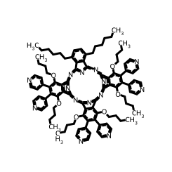 CCCCCCc1ccc(CCCCCC)c2c1-c1nc-2nc2[nH]c(nc3nc(nc4[nH]c(n1)c1c(OCCCC)c(-c5ccncc5)c(-c5ccncc5)c(OCCCC)c41)-c1c(OCCCC)c(-c4ccncc4)c(-c4ccncc4)c(OCCCC)c1-3)c1c(OCCCC)c(-c3ccncc3)c(-c3ccncc3)c(OCCCC)c21